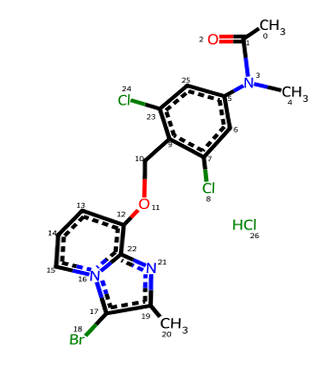 CC(=O)N(C)c1cc(Cl)c(COc2cccn3c(Br)c(C)nc23)c(Cl)c1.Cl